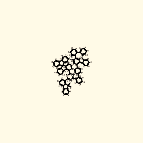 CC1(C)c2ccccc2-c2cccc(-c3nc(-c4ccccc4-c4ccc(-c5cc6oc7cccc8c9ccccc9n9c%10ccccc%10c5c9c6c78)cc4)nc(-c4cccc5c4-c4ccccc4C54c5ccccc5-c5ccccc54)n3)c21